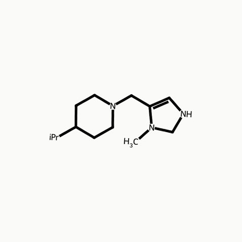 CC(C)C1CCN(CC2=CNCN2C)CC1